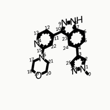 Cn1cc(-c2ccc3[nH]nc(-c4ccnc(N5CCOCC5)c4)c3c2)cn1